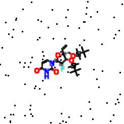 C=C[C@]1(CO[Si](C)(C)C(C)(C)C)O[C@@H](n2ccc(=O)[nH]c2=O)[C@@H](F)C1O[Si](C)(C)C(C)(C)C